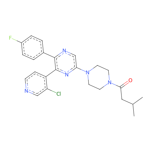 CC(C)CC(=O)N1CCN(c2cnc(-c3ccc(F)cc3)c(-c3ccncc3Cl)n2)CC1